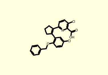 O=C(O)c1nc(C2=C(c3cc(Cl)ccc3OCc3ccccc3)CCC2)ccc1Cl